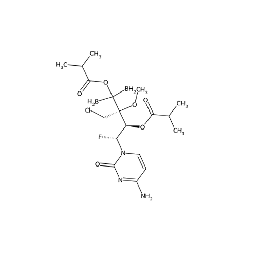 BC(B)(OC(=O)C(C)C)[C@@](CCl)(OC)[C@@H](OC(=O)C(C)C)[C@@H](F)n1ccc(N)nc1=O